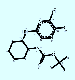 CC(C)(C)OC(=O)N[C@H]1CCCC[C@H]1Nc1cnc(Cl)c(Cl)n1